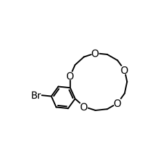 Brc1ccc2c(c1)OCCOCCOCCOCCO2